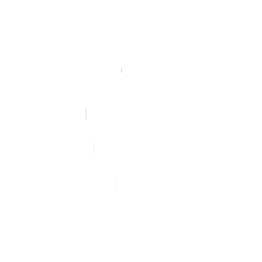 FCC(F)C(F)(F)C(F)C(F)C(F)(F)F